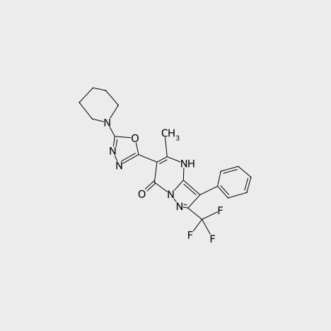 Cc1[nH]c2c(-c3ccccc3)c(C(F)(F)F)nn2c(=O)c1-c1nnc(N2CCCCC2)o1